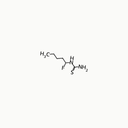 CCCCC(F)NC(N)=S